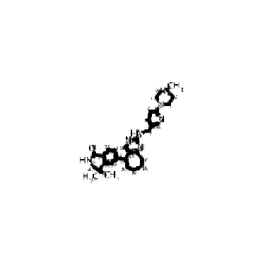 CN1CCN(c2ccc(CNc3ncc4c(n3)CCCC=C4c3ccc4c(c3)C(C)(C)CNC4=O)cn2)CC1